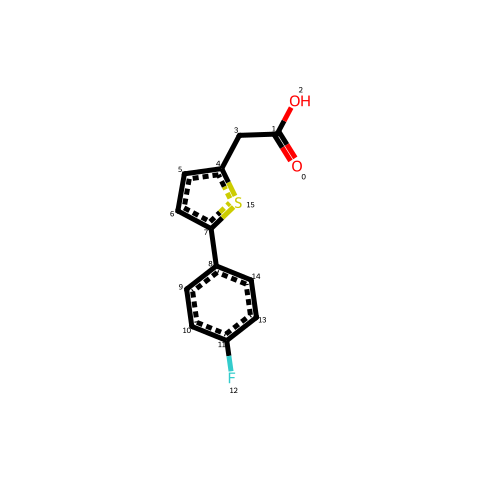 O=C(O)Cc1ccc(-c2ccc(F)cc2)s1